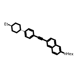 CCCCCCc1ccc2cc(C#Cc3ccc([C@H]4CC[C@H](CC)CC4)cc3)ccc2c1